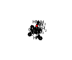 CC(=O)N[C@@H](CCCNC(=N)N)C(=O)N1CCC[C@H]1C(=O)N[C@@H](Cc1ccccc1)C(=O)NCC(=O)N[C@@H](Cc1c[nH]c2ccccc12)C(=O)N[C@@H](CCCCN)C(N)=O